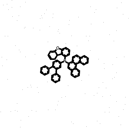 C1=CCC2C(=C1)Oc1cccc(N(c3ccc(-c4ccccc4)c(-c4ccccc4)c3)c3cc4ccccc4c4c3ccc3ccccc34)c12